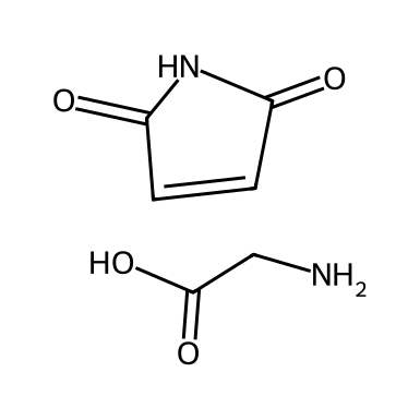 NCC(=O)O.O=C1C=CC(=O)N1